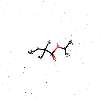 CCC(C)(COC(C)=O)C(=O)OC(C(F)(F)F)C(F)(F)F